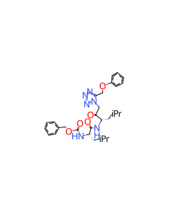 CC(C)C[C@H](NC(=O)[C@H](CC(C)C)NC(=O)OCc1ccccc1)C(=O)Cn1nnnc1COc1ccccc1